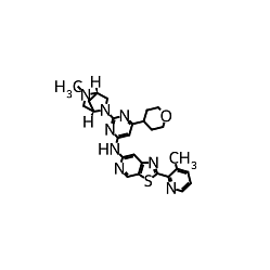 Cc1cccnc1-c1nc2cc(Nc3cc(C4CCOCC4)nc(N4C[C@@H]5C[C@H]4CN5C)n3)ncc2s1